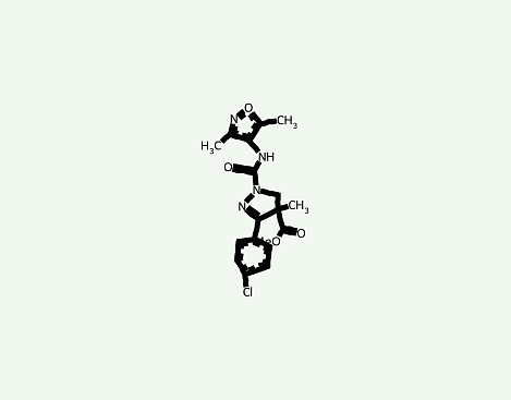 COC(=O)C1(C)CN(C(=O)Nc2c(C)noc2C)N=C1c1ccc(Cl)cc1